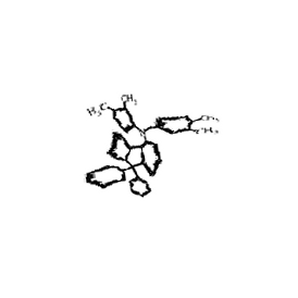 Cc1ccc(N(c2ccc(C)c(C)c2)c2cccc3c2-c2ccccc2C3(c2ccccc2)c2ccccc2)cc1C